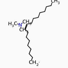 CN(C)C.[CH2]CCCCCCC/C=C\CCCCCCCC